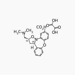 CN(C)C[C@@H]1C[C@@H]2c3ccccc3Oc3ccc(C(=O)O)cc3N2O1.O=C(O)C(=O)O